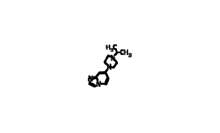 CC(C)N1CCN(c2ccn3ccnc3c2)CC1